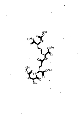 CCC(C)[C@H](NC(=O)OC(C)(C)C)C(=O)N[C@H](CCC(=O)N[C@H](CSC[C@H](NC(=O)OC(C)(C)C)C(=O)OC)C(=O)OC)C(=O)OC